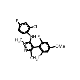 COc1cc(F)c(-c2c(C)nn(C)c2Nc2ccc(F)cc2Cl)c(F)c1